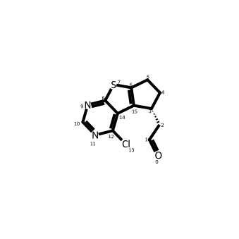 O=CC[C@H]1CCc2sc3ncnc(Cl)c3c21